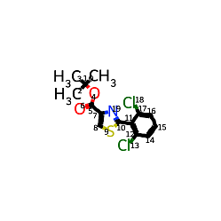 CC(C)(C)OC(=O)c1csc(-c2c(Cl)cccc2Cl)n1